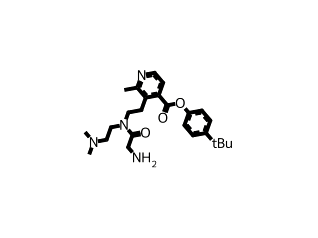 Cc1nccc(C(=O)Oc2ccc(C(C)(C)C)cc2)c1CCN(CCN(C)C)C(=O)CN